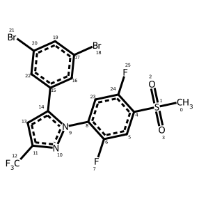 CS(=O)(=O)c1cc(F)c(-n2nc(C(F)(F)F)cc2-c2cc(Br)cc(Br)c2)cc1F